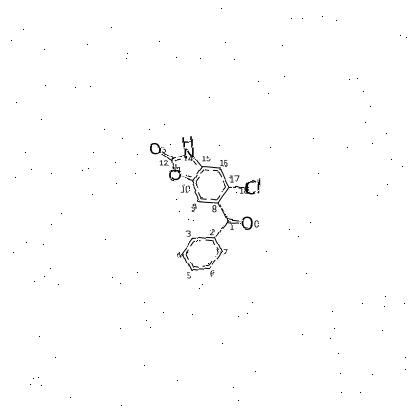 O=C(c1ccccc1)c1cc2oc(=O)[nH]c2cc1Cl